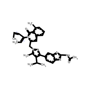 C/C=C\C(=C/C)n1c(Cn2nc(-c3ccc4nc(NC(C)=O)sc4c3)c(C(C)N)c2C)cc2cccc(C)c2c1=O